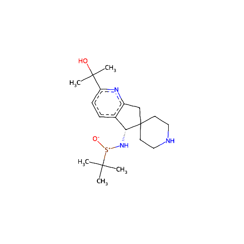 CC(C)(O)c1ccc2c(n1)CC1(CCNCC1)[C@@H]2N[S+]([O-])C(C)(C)C